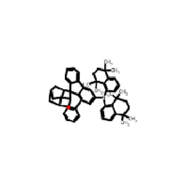 CC1(C)CCC(C)(C)c2c(N(c3cc(-c4ccccc4)c4c(c3)-c3ccccc3C43C4CC5CC6CC3C64C5)c3cccc4c3C(C)(C)CCC4(C)C)cccc21